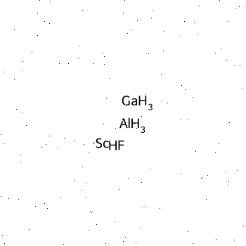 F.[AlH3].[GaH3].[Sc]